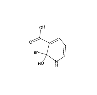 O=C(O)C1=CC=CNC1(O)Br